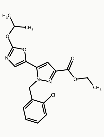 CCOC(=O)c1cc(-c2cnc(OC(C)C)o2)n(Cc2ccccc2Cl)n1